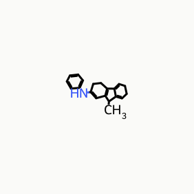 CC1C2=CCCC=C2C2=C1C=C(Nc1ccccc1)CC2